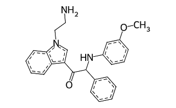 COc1cccc(NC(C(=O)c2cn(CCN)c3ccccc23)c2ccccc2)c1